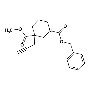 COC(=O)C1(CC#N)CCCN(C(=O)OCc2ccccc2)C1